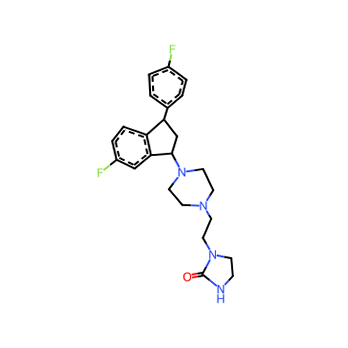 O=C1NCCN1CCN1CCN(C2CC(c3ccc(F)cc3)c3ccc(F)cc32)CC1